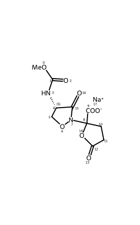 COC(=O)N[C@H]1CON(C2(C(=O)[O-])CCC(=O)O2)C1=O.[Na+]